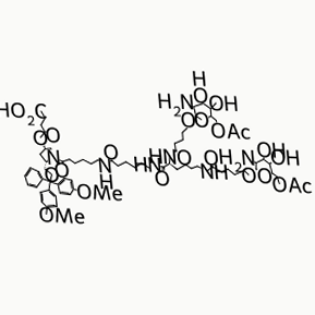 COc1ccc(C(OC[C@@H]2C[C@@H](OC(=O)CCC(=O)O)CN2C(=O)CCCCCNC(=O)CCCCCNC(=O)[C@H](CCCCNC(=O)CCCCOC2OC(COC(C)=O)C(O)C(O)C2N)NC(=O)CCCCOC2OC(COC(C)=O)C(O)C(O)C2N)(c2ccccc2)c2ccc(OC)cc2)cc1